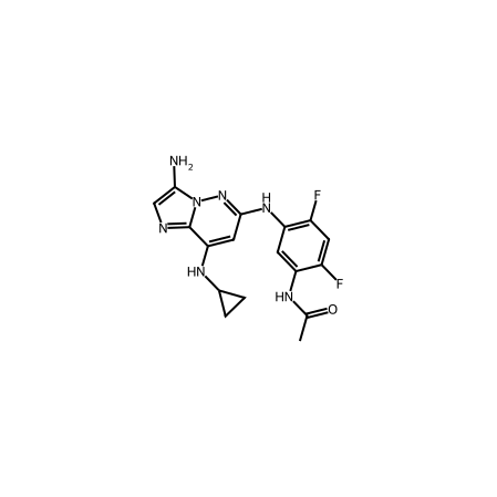 CC(=O)Nc1cc(Nc2cc(NC3CC3)c3ncc(N)n3n2)c(F)cc1F